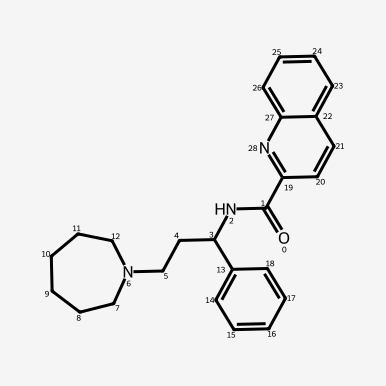 O=C(NC(CCN1CCCCCC1)c1ccccc1)c1ccc2ccccc2n1